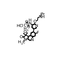 CC(C)NCCOc1ncc(-c2cc3c4c(cnc3cc2F)N(C)C(=O)C42COC2)cc1NS(C)(=O)=O.Cl